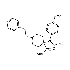 CCC(=O)N(c1ccc(OC)cc1)C1(C(=O)OC)CCN(CCc2ccccc2)CC1